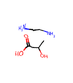 CC(O)C(=O)O.NCCN